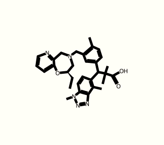 CC[C@@H]1CN(Cc2cc(C(c3ccc4c(nnn4C)c3C)C(C)(C)C(=O)O)ccc2C)Cc2ncccc2O1